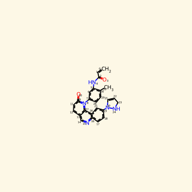 C=CC(=O)Nc1cc(-n2c(=O)ccc3cnc4ccc(N5C=CCN5)cc4c32)ccc1C